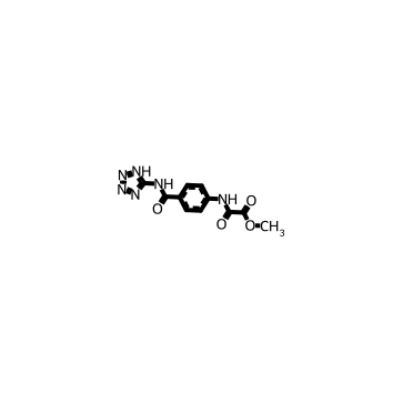 COC(=O)C(=O)Nc1ccc(C(=O)Nc2nnn[nH]2)cc1